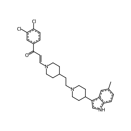 Cc1ccc2[nH]cc(C3CCN(CCC4CCN(/C=C/C(=O)c5ccc(Cl)c(Cl)c5)CC4)CC3)c2c1